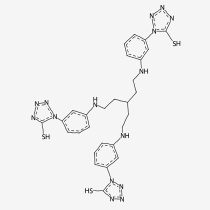 Sc1nnnn1-c1cccc(NCCC(CCNc2cccc(-n3nnnc3S)c2)CCNc2cccc(-n3nnnc3S)c2)c1